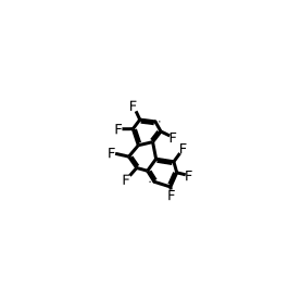 Fc1[c]c2c(F)c(F)c3c(F)c(F)[c]c(F)c3c2c(F)c1F